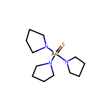 S=[As](N1CCCC1)(N1CCCC1)N1CCCC1